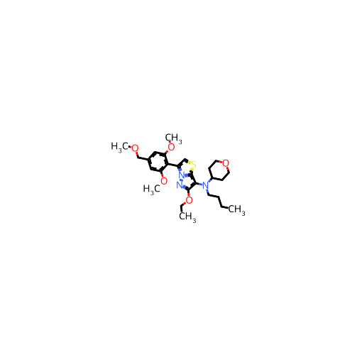 CCCCN(c1c(OCC)nn2c(-c3c(OC)cc(COC)cc3OC)csc12)C1CCOCC1